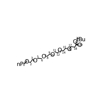 CCCOCCOCCOCCOCCOCCOCCC(=O)OC(C)(C)C